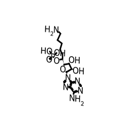 NCCCCCC(OP(=O)(O)O)[C@H]1O[C@@H](n2cnc3c(N)ncnc32)[C@H](O)[C@@H]1O